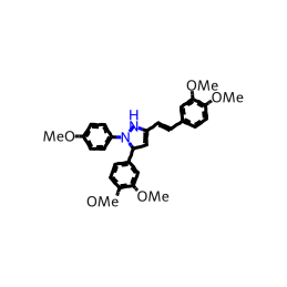 COc1ccc(N2NC(C=Cc3ccc(OC)c(OC)c3)=CC2c2ccc(OC)c(OC)c2)cc1